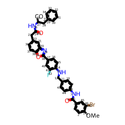 COc1ccc(C(=O)Nc2ccc(CNc3ccc(-c4nc5cc(CC(=O)NC(Cc6ccccc6)C(=O)O)ccc5o4)cc3F)cc2)cc1Br